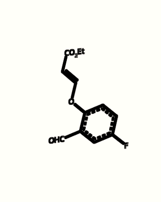 CCOC(=O)C=COc1ccc(F)cc1C=O